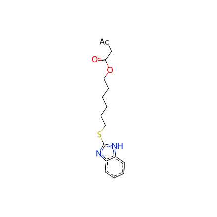 CC(=O)CC(=O)OCCCCCCSc1nc2ccccc2[nH]1